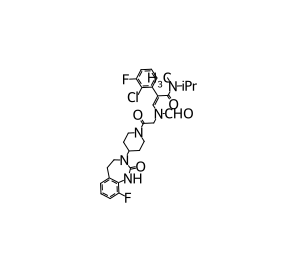 CC(C)N(C)C(=O)/C(=C\N(C=O)CC(=O)N1CCC(N2CCc3cccc(F)c3NC2=O)CC1)c1cccc(F)c1Cl